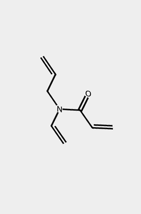 C=CCN(C=C)C(=O)C=C